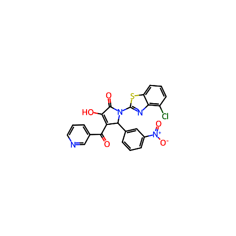 O=C(C1=C(O)C(=O)N(c2nc3c(Cl)cccc3s2)C1c1cccc([N+](=O)[O-])c1)c1cccnc1